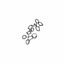 C1=CC2=C(CC1)C(c1ccccc1)(c1ccc3c(c1)oc1c(N(c4ccccc4)c4ccccc4-c4ccccc4)cccc13)c1ccccc12